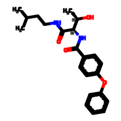 CC(C)C[CH]NC(=O)[C@@H](NC(=O)c1ccc(Oc2ccccc2)cc1)[C@@H](C)O